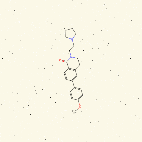 O=C1c2ccc(-c3ccc(OC(F)(F)F)cc3)cc2CCN1CCN1CCCC1